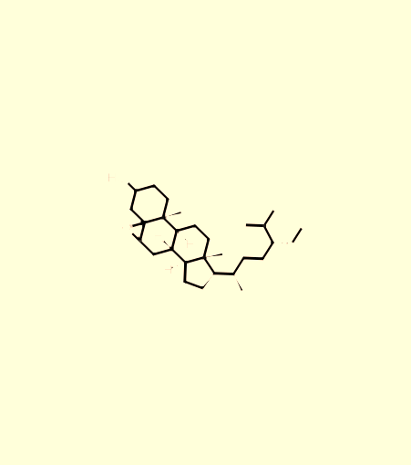 CC[C@H](CC[C@@H](C)[C@H]1CC[C@H]2[C@@H]3CC4OC45CC(O)CC[C@]5(C)[C@H]3CC[C@]12C)C(C)C